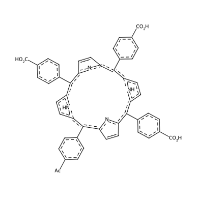 CC(=O)c1ccc(-c2c3nc(c(-c4ccc(C(=O)O)cc4)c4ccc([nH]4)c(-c4ccc(C(=O)O)cc4)c4nc(c(-c5ccc(C(=O)O)cc5)c5ccc2[nH]5)C=C4)C=C3)cc1